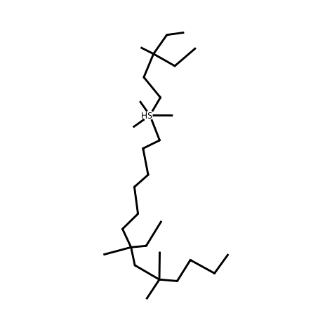 CCCCC(C)(C)CC(C)(CC)CCCCCC[SH](C)(C)(C)CCC(C)(CC)CC